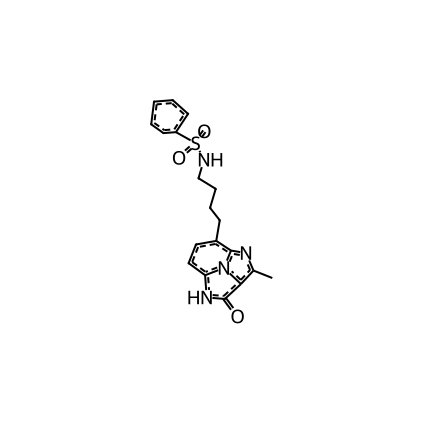 Cc1nc2c(CCCCNS(=O)(=O)c3ccccc3)ccc3[nH]c(=O)c1n32